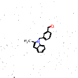 Cc1cc2ccccc2n1Cc1cccc(C=O)c1